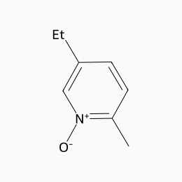 CCc1ccc(C)[n+]([O-])c1